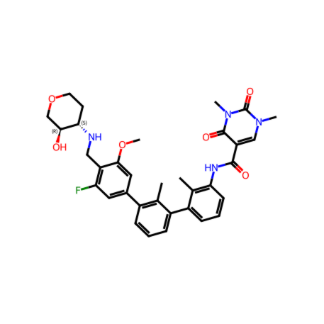 COc1cc(-c2cccc(-c3cccc(NC(=O)c4cn(C)c(=O)n(C)c4=O)c3C)c2C)cc(F)c1CN[C@H]1CCOC[C@@H]1O